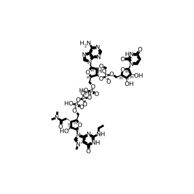 CCNc1nc2c(c(=O)[nH]1)[n+](C)cn2[C@@H]1O[C@H](COP(=O)(O)OP(=O)(O)OP(=O)(O)OC[C@H]2O[C@@H](n3cnc4c(N)ncnc43)[C@H](OC)[C@@H]2OP(=O)(O)OC[C@H]2O[C@@H](n3ccc(=O)[nH]c3=O)[C@H](O)[C@@H]2O)[C@@H](CC(=O)N(C)C)[C@H]1O